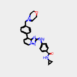 O=C(NC1CC1)c1ccc(Nc2nc3c(-c4ccc(CN5CCOCC5)cc4)cccn3n2)cc1